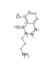 NCCCn1nnc2cccc(Cl)c2c1=O